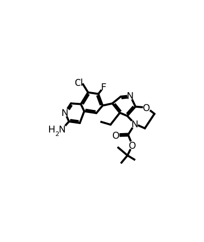 CCc1c(-c2cc3cc(N)ncc3c(Cl)c2F)cnc2c1N(C(=O)OC(C)(C)C)CCO2